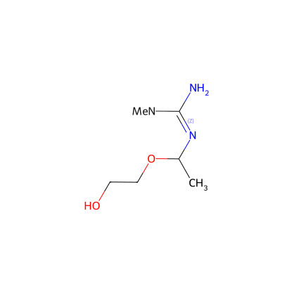 CN/C(N)=N\C(C)OCCO